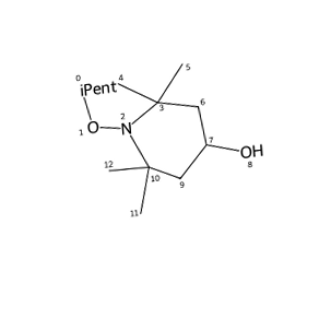 CCCC(C)ON1C(C)(C)CC(O)CC1(C)C